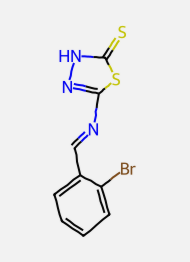 S=c1[nH]nc(N=Cc2ccccc2Br)s1